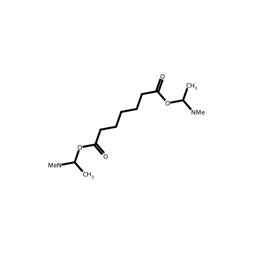 CNC(C)OC(=O)CCCCCC(=O)OC(C)NC